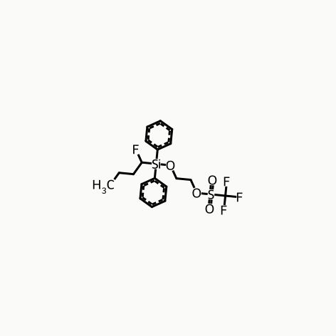 CCCC(F)[Si](OCCOS(=O)(=O)C(F)(F)F)(c1ccccc1)c1ccccc1